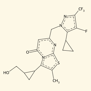 Cc1sc2nc(Cn3nc(C(F)(F)F)c(F)c3C3CC3)cc(=O)n2c1C1CC1CO